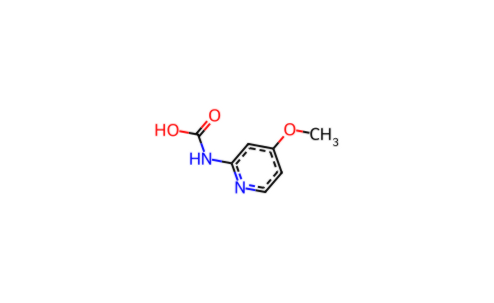 COc1ccnc(NC(=O)O)c1